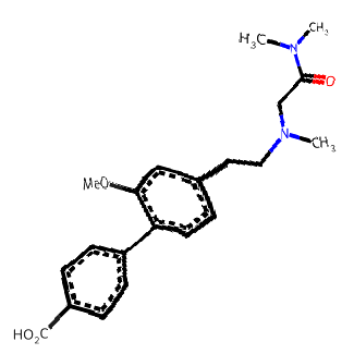 COc1cc(CCN(C)CC(=O)N(C)C)ccc1-c1ccc(C(=O)O)cc1